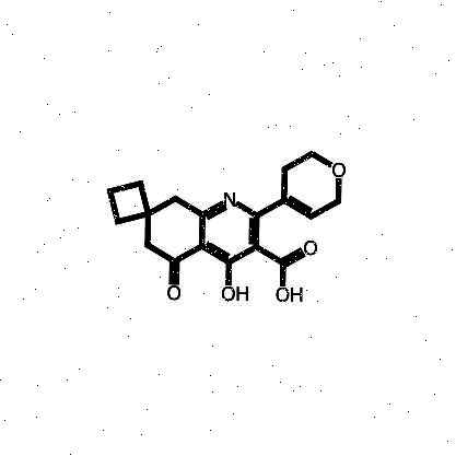 O=C1CC2(CCC2)Cc2nc(C3=CCOCC3)c(C(=O)O)c(O)c21